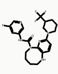 O=C(Nc1cncc(F)c1)N1CCCCNc2ccc(N3CCCC(C(F)(F)F)C3)nc21